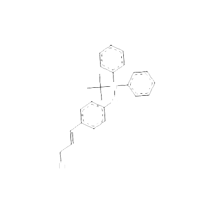 CC(C)(C)[Si](Oc1ccc(/C=C/CBr)cc1)(c1ccccc1)c1ccccc1